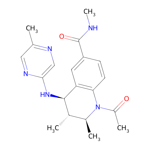 CNC(=O)c1ccc2c(c1)[C@H](Nc1cnc(C)cn1)[C@@H](C)[C@H](C)N2C(C)=O